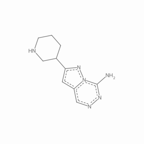 Nc1nncc2cc(C3CCCNC3)nn12